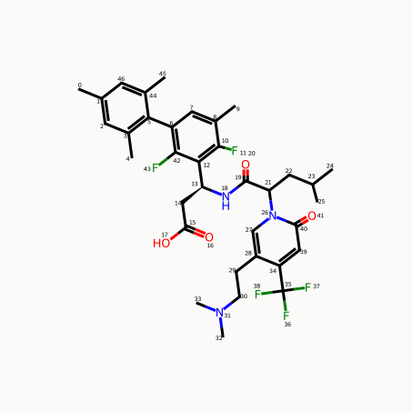 Cc1cc(C)c(-c2cc(C)c(F)c([C@H](CC(=O)O)NC(=O)C(CC(C)C)n3cc(CCN(C)C)c(C(F)(F)F)cc3=O)c2F)c(C)c1